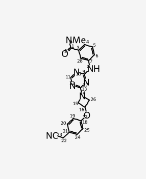 CNC(=O)c1cccc(Nc2ncnc(N3CC(Oc4ccc(CC#N)cc4)C3)n2)c1